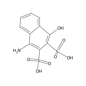 Nc1c(S(=O)(=O)O)c(S(=O)(=O)O)c(O)c2ccccc12